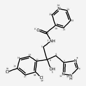 O=C(NCC(O)(Cc1nc[nH]n1)c1ccc(Cl)cc1Cl)c1cccnc1